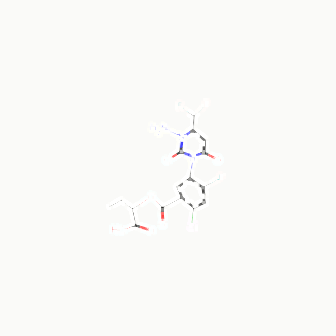 CCC(OC(=O)c1cc(-n2c(=O)cc(C(F)F)n(N)c2=O)c(F)cc1Cl)C(=O)O